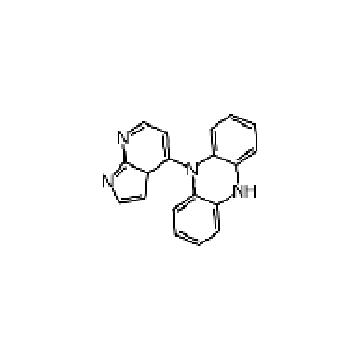 C1=CC2C(N3c4ccccc4Nc4ccccc43)=CC=NC2=N1